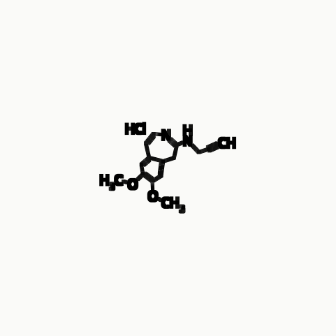 C#CCNC1=NC=Cc2cc(OC)c(OC)cc2C1.Cl